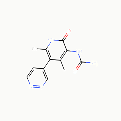 CCc1[nH]c(=O)c(NC(N)=O)c(C)c1-c1ccnnc1